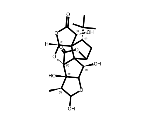 C[C@@H]1C(O)OC2[C@H](O)C34C5C[C@@H](C(C)(C)C)C36[C@@H](OC(=O)[C@@H]6O)O[C@@]4(C(=O)O5)[C@]21O